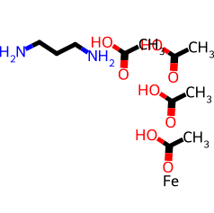 CC(=O)O.CC(=O)O.CC(=O)O.CC(=O)O.NCCCN.[Fe]